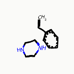 C1CNCCN1.C=Cc1ccccc1